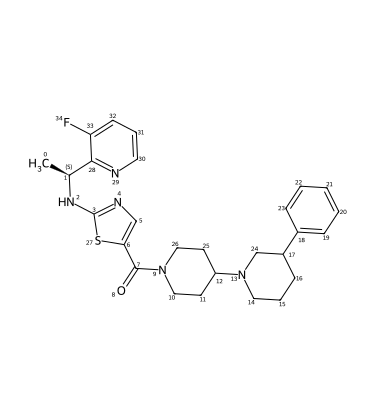 C[C@H](Nc1ncc(C(=O)N2CCC(N3CCCC(c4ccccc4)C3)CC2)s1)c1ncccc1F